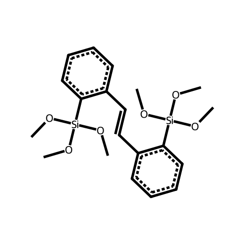 CO[Si](OC)(OC)c1ccccc1C=Cc1ccccc1[Si](OC)(OC)OC